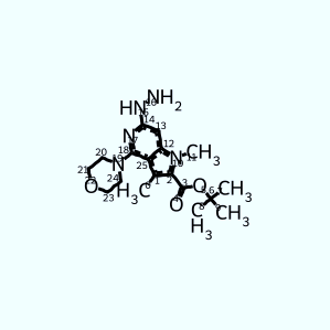 Cc1c(C(=O)OC(C)(C)C)n(C)c2cc(NN)nc(N3CCOCC3)c12